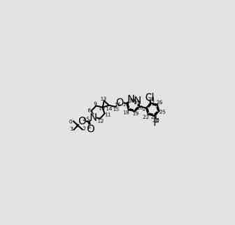 CC(C)(C)OC(=O)N1CCC2(CC1)CC2COc1ccc(-c2cc(F)ccc2Cl)nn1